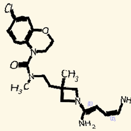 CN(CCC1(C)CN(/C(N)=C/C=C\N)C1)C(=O)N1CCOc2cc(Cl)ccc21